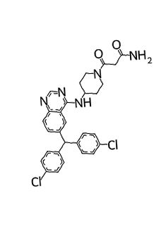 NC(=O)CC(=O)N1CCC(Nc2ncnc3ccc(C(c4ccc(Cl)cc4)c4ccc(Cl)cc4)cc23)CC1